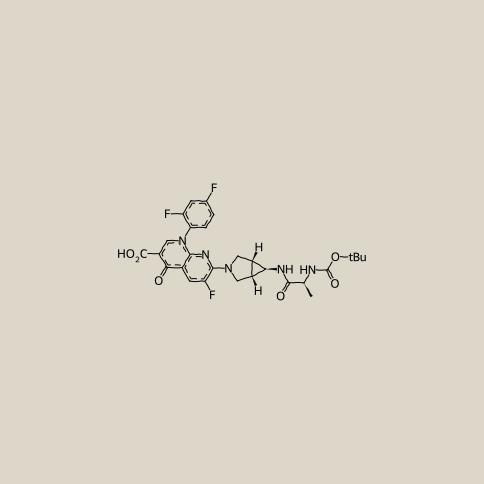 C[C@H](NC(=O)OC(C)(C)C)C(=O)N[C@H]1[C@@H]2CN(c3nc4c(cc3F)c(=O)c(C(=O)O)cn4-c3ccc(F)cc3F)C[C@@H]21